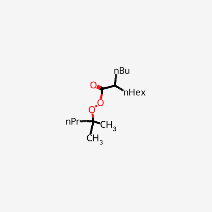 CCCCCCC(CCCC)C(=O)OOC(C)(C)CCC